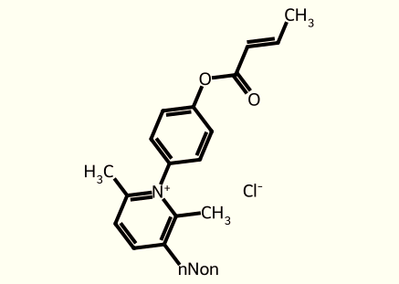 CC=CC(=O)Oc1ccc(-[n+]2c(C)ccc(CCCCCCCCC)c2C)cc1.[Cl-]